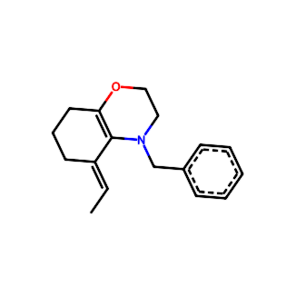 CC=C1CCCC2=C1N(Cc1ccccc1)CCO2